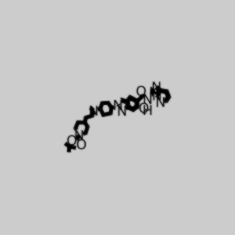 COc1cc2nn(C3CCC(N(C)CCC4CCN(C(=O)OC(C)(C)C)CC4)CC3)cc2cc1C(=O)Nc1cnc2cccnn12